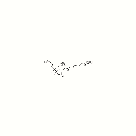 CCC/C=C/C(C)(C)C(C)(N)C(CCSCCCCCSC(C)(C)C)CC(C)(C)C